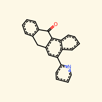 O=C1c2ccccc2Cc2cc(-c3ccccn3)c3ccccc3c21